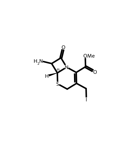 COC(=O)C1=C(CI)CS[C@@H]2C(N)C(=O)N12